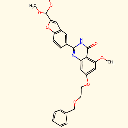 COc1cc(OCCOCc2ccccc2)cc2nc(-c3ccc4oc(C(OC)OC)cc4c3)[nH]c(=O)c12